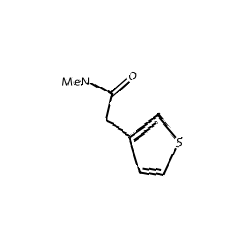 CNC(=O)Cc1ccsc1